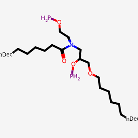 CCCCCCCCCCCCCCCCOCC(CN(CCOP)C(=O)CCCCCCCCCCCCCCC)OP